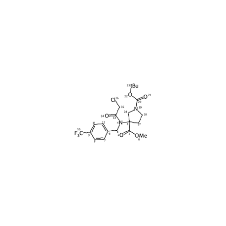 COC(=O)C1(N(Cc2ccc(C(F)(F)F)cc2)C(=O)CCl)CCN(C(=O)OC(C)(C)C)C1